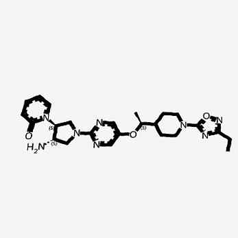 CCc1noc(N2CCC([C@H](C)Oc3cnc(N4C[C@H](N)[C@@H](n5ccccc5=O)C4)nc3)CC2)n1